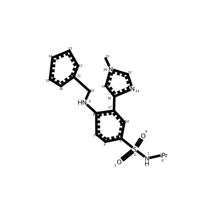 CC(C)NS(=O)(=O)c1ccc(NCc2ccccc2)c(-c2cn(C)cn2)c1